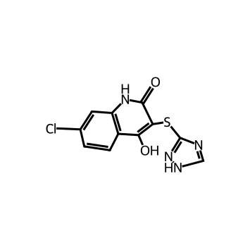 O=c1[nH]c2cc(Cl)ccc2c(O)c1Sc1nc[nH]n1